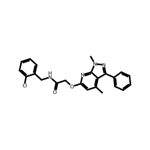 Cc1cc(OCC(=O)NCc2ccccc2Cl)nc2c1c(-c1ccccc1)nn2C